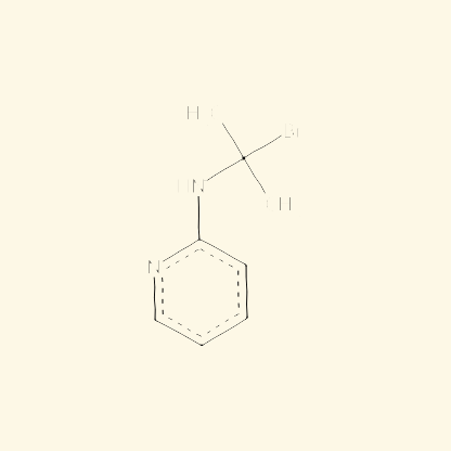 CC(C)(Br)Nc1ccccn1